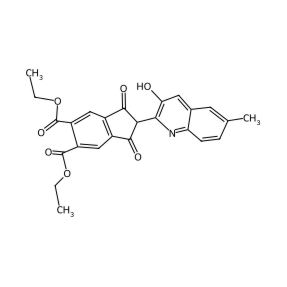 CCOC(=O)c1cc2c(cc1C(=O)OCC)C(=O)C(c1nc3ccc(C)cc3cc1O)C2=O